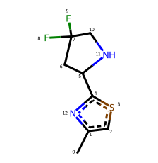 Cc1csc(C2CC(F)(F)CN2)n1